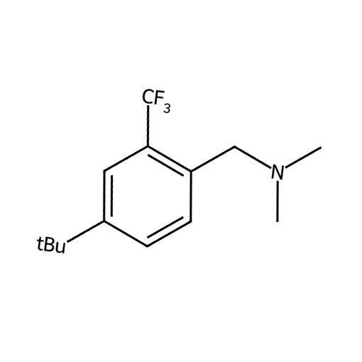 CN(C)Cc1ccc(C(C)(C)C)cc1C(F)(F)F